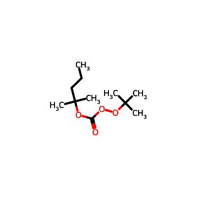 CCCC(C)(C)OC(=O)OOC(C)(C)C